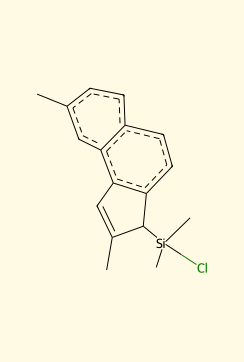 CC1=Cc2c(ccc3ccc(C)cc23)C1[Si](C)(C)Cl